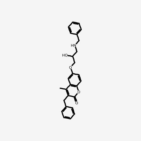 Cc1c(Cc2ccccc2)c(=O)oc2ccc(OCC(O)CNCc3ccccc3)cc12